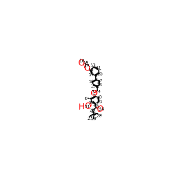 Cc1c(OCc2ccc(-c3cccc(OC=O)c3)cc2)ccc(C(=O)CC(C)(C)C)c1O